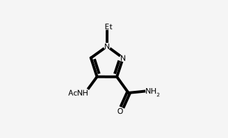 CCn1cc(NC(C)=O)c(C(N)=O)n1